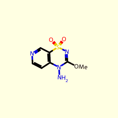 COC1=NS(=O)(=O)c2cnccc2N1N